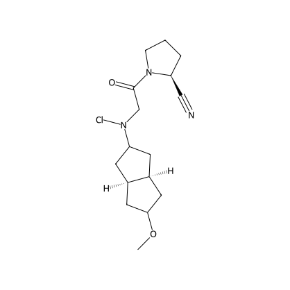 COC1C[C@@H]2CC(N(Cl)CC(=O)N3CCC[C@H]3C#N)C[C@@H]2C1